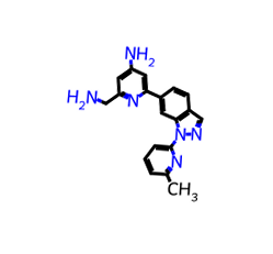 Cc1cccc(-n2ncc3ccc(-c4cc(N)cc(CN)n4)cc32)n1